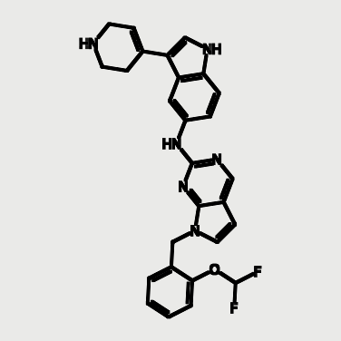 FC(F)Oc1ccccc1Cn1ccc2cnc(Nc3ccc4[nH]cc(C5=CCNCC5)c4c3)nc21